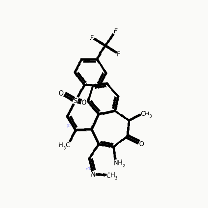 C/N=C\C1=C(N)C(=O)C(C)c2ccccc2C1/C(C)=C\S(=O)(=O)c1ccc(C(F)(F)F)cc1